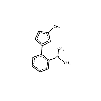 Cc1ccc(-c2ccccc2N(C)C)s1